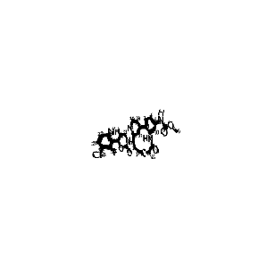 COC(=O)Nc1ccc2c(c1)NC(=O)[C@H](C)CCC[C@H](N1CCC(c3c(N)ccc(Cl)c3F)OC1=O)c1cc-2ccn1